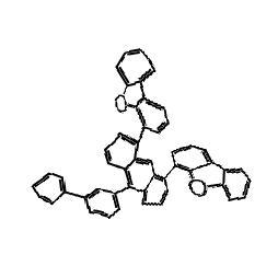 c1ccc(-c2cccc(-c3c4cccc(-c5cccc6c5oc5ccccc56)c4cc4c(-c5cccc6c5oc5ccccc56)cccc34)c2)cc1